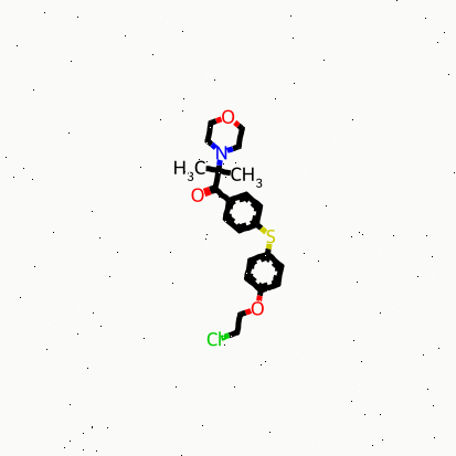 CC(C)(C(=O)c1ccc(Sc2ccc(OCCCl)cc2)cc1)N1CCOCC1